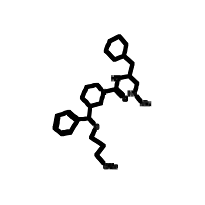 CCCCNCC(CC1CCCCC1)NC(=O)N1CCCC(C(OCCCOC)c2ccccc2)C1